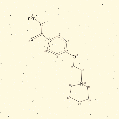 CCCOC(=S)c1ccc(OCCN2CCCCC2)cc1